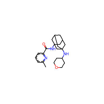 Cc1cccc(C(=O)NC23CC4CC(C2)CC(NC2CCOCC2)(C4)C3)n1